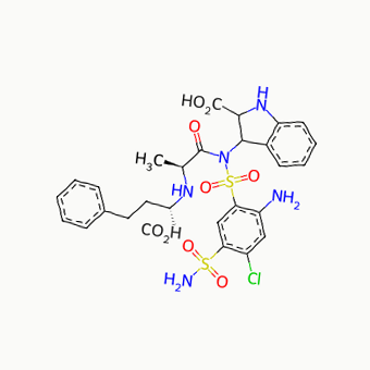 C[C@H](N[C@@H](CCc1ccccc1)C(=O)O)C(=O)N(C1c2ccccc2NC1C(=O)O)S(=O)(=O)c1cc(S(N)(=O)=O)c(Cl)cc1N